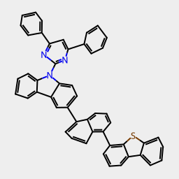 c1ccc(-c2cc(-c3ccccc3)nc(-n3c4ccccc4c4cc(-c5cccc6c(-c7cccc8c7sc7ccccc78)cccc56)ccc43)n2)cc1